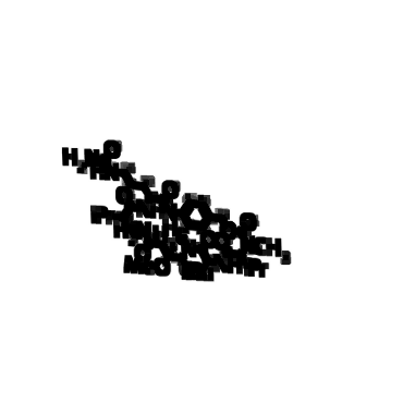 CC[C@H](C)C([C@@H](CC(N)=O)OC)N(C)C(=O)[C@@H](NC(=O)[C@H](C(C)C)N(C)C(=O)OCc1ccc(NC(=O)[C@H](CCCNC(N)=O)NC(=O)[C@@H](N)C(C)C)cc1)C(C)C